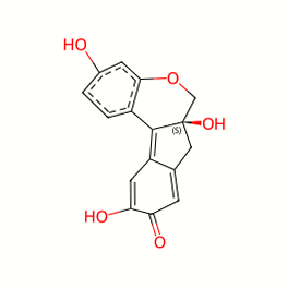 O=C1C=C2C[C@@]3(O)COc4cc(O)ccc4C3=C2C=C1O